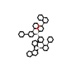 c1ccc(-c2ccc(N(c3ccc(-c4c(-c5ccccc5)cccc4-n4c5ccccc5c5c6ccccc6ccc54)cc3)c3ccc(-c4cccc5ccccc45)cc3)c(-c3ccccc3)c2)cc1